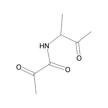 CC(=O)C(=O)NC(C)C(C)=O